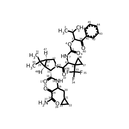 CC(C)[C@H](OC(=O)N[C@H](C(=O)N1C[C@H]2[C@@H]([C@H]1C(=O)NC(CC1CC1)C(=O)C(N)=O)C2(C)C)C1(C(F)(F)F)CC1)C(=O)c1ccccc1